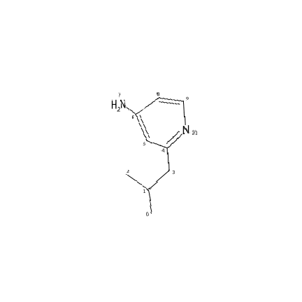 CC(C)Cc1cc(N)ccn1